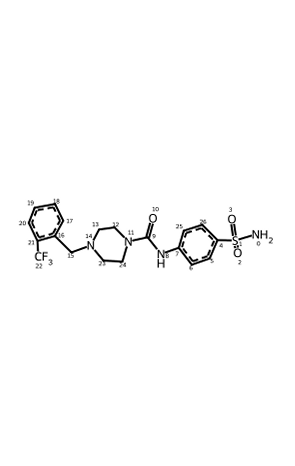 NS(=O)(=O)c1ccc(NC(=O)N2CCN(Cc3ccccc3C(F)(F)F)CC2)cc1